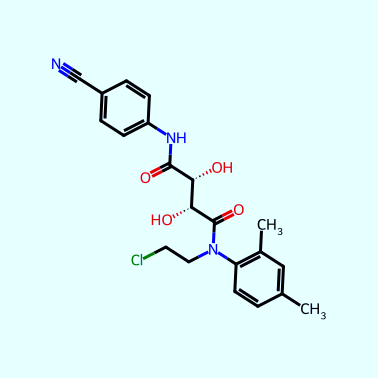 Cc1ccc(N(CCCl)C(=O)[C@H](O)[C@@H](O)C(=O)Nc2ccc(C#N)cc2)c(C)c1